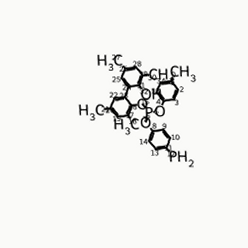 Cc1ccc(OP(Oc2ccc(P)cc2)Oc2c(C)cc(C)cc2-c2cc(C)cc(C)c2O)cc1